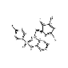 Cc1ccc(S(=O)(=O)Nc2ccccc2N/C=C2\C=C(Cl)C=C(Cl)C2=O)cc1